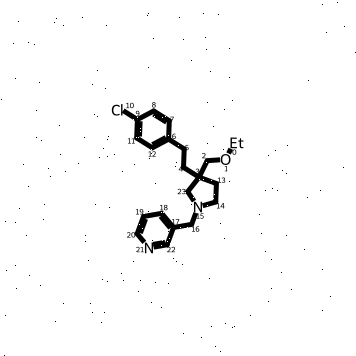 CCOCC1(CCc2ccc(Cl)cc2)CCN(Cc2cccnc2)C1